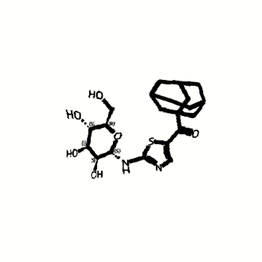 O=C(c1cnc(N[C@H]2O[C@H](CO)[C@@H](O)[C@H](O)[C@@H]2O)s1)C12CC3CC(CC(C3)C1)C2